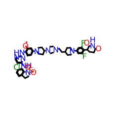 COc1cc(N2CCC(N3CCN(CCC4CCN(c5cc(F)c(C6CCC(=O)NC6=O)c(F)c5)CC4)CC3)CC2)ccc1Nc1ncc(Cl)c(Nc2cccc3c2N(S(C)(=O)=O)CC3)n1